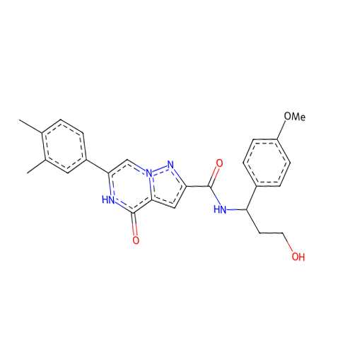 COc1ccc(C(CCO)NC(=O)c2cc3c(=O)[nH]c(-c4ccc(C)c(C)c4)cn3n2)cc1